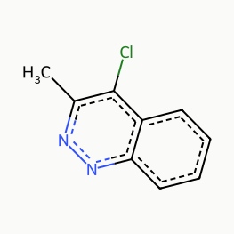 Cc1nnc2ccccc2c1Cl